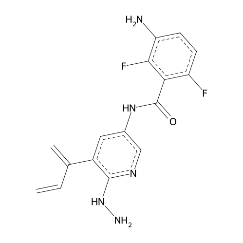 C=CC(=C)c1cc(NC(=O)c2c(F)ccc(N)c2F)cnc1NN